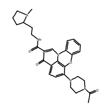 CC(=O)N1CCN(c2ccc3c(=O)c(C(=O)NCCC4CCCN4C)cn4c3c2Oc2ccccc2-4)CC1